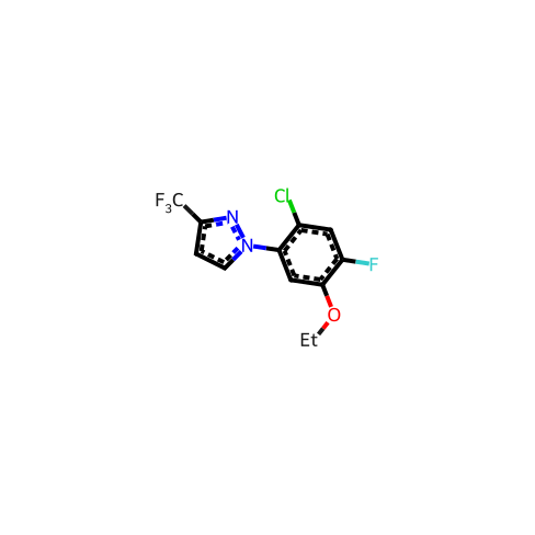 CCOc1cc(-n2ccc(C(F)(F)F)n2)c(Cl)cc1F